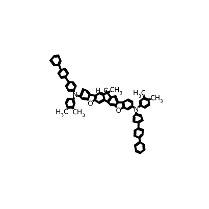 Cc1ccc(N(c2ccc(-c3ccc(-c4ccccc4)cc3)cc2)c2ccc3c(c2)oc2cc4c(cc23)C(C)(C)c2cc3c(cc2-4)oc2cc(N(c4ccc(-c5ccc(-c6ccccc6)cc5)cc4)c4ccc(C)c(C)c4)ccc23)cc1C